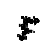 Nc1nc(NCC(O)C(CO)Nc2nc(N)nc3cc(-c4c(F)cccc4F)ccc23)c2ccc(-c3c(Cl)cccc3Cl)cc2n1